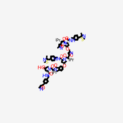 Cc1cc([C@@H](C(=O)N2C[C@H](OCc3cc(C(C(=O)N4C[C@H](Oc5ccc6c(c5)C(=O)N([C@H](C(=O)N5C[C@H](O)C[C@H]5C(=O)NCc5ccc(-c7ccno7)cc5)C(C)C)C6)C[C@H]4C(=O)NCc4ccc(-c5scnc5C)cc4)C(C)C)on3)C[C@H]2C(=O)NCc2ccc(-c3scnc3C)cc2)C(C)C)on1